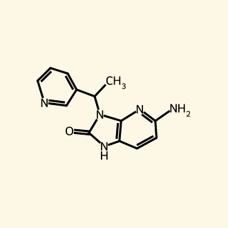 CC(c1cccnc1)n1c(=O)[nH]c2ccc(N)nc21